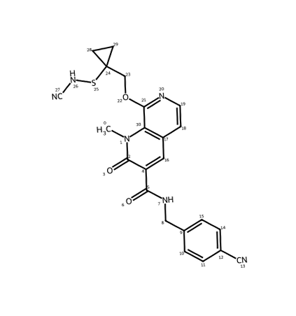 Cn1c(=O)c(C(=O)NCc2ccc(C#N)cc2)cc2ccnc(OCC3(SNC#N)CC3)c21